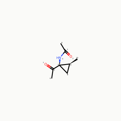 CC(=O)N[C@]1(C(C)=O)C[C@@H]1C